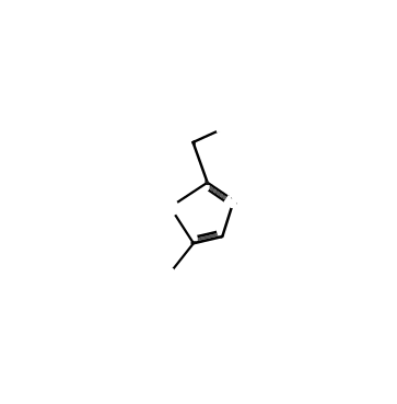 CCc1cnc(CCl)o1